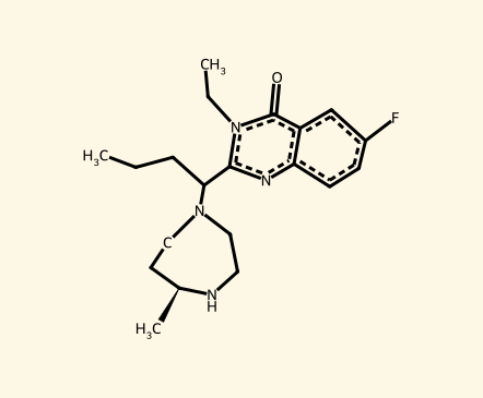 CCCC(c1nc2ccc(F)cc2c(=O)n1CC)N1CCN[C@@H](C)CC1